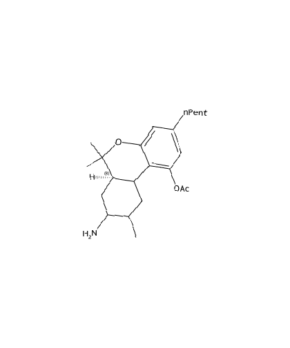 CCCCCc1cc(OC(C)=O)c2c(c1)OC(C)(C)[C@@H]1CC(N)C(C)CC21